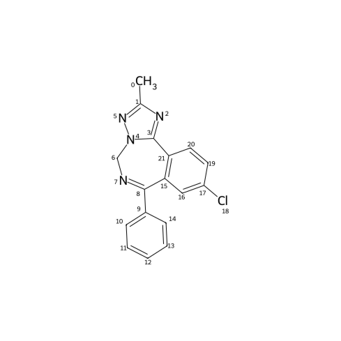 Cc1nc2n(n1)CN=C(c1ccccc1)c1cc(Cl)ccc1-2